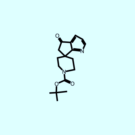 CC(C)(C)OC(=O)N1CCC2(CC1)CC(=O)c1cccnc12